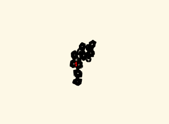 c1ccc(-c2ccc(-c3ccc(N(c4ccccc4-c4ccccc4)c4cc5oc6ccc7c8ccccc8oc7c6c5c5c4oc4ccccc45)cc3)cc2)cc1